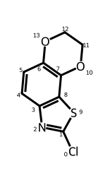 Clc1nc2ccc3c(c2s1)OCCO3